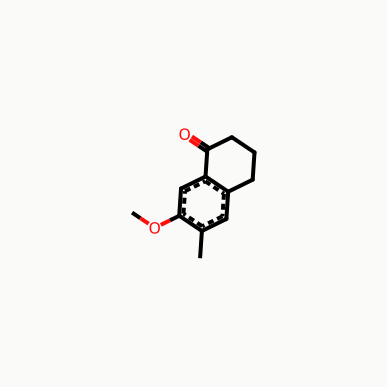 COc1cc2c(cc1C)CCCC2=O